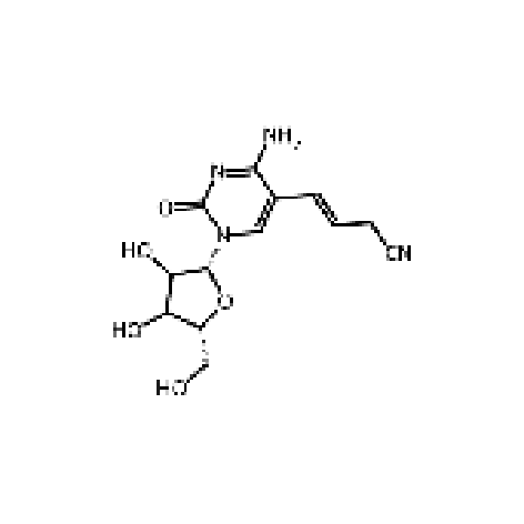 N#CCC=Cc1cn([C@@H]2O[C@H](CO)C(O)C2O)c(=O)nc1N